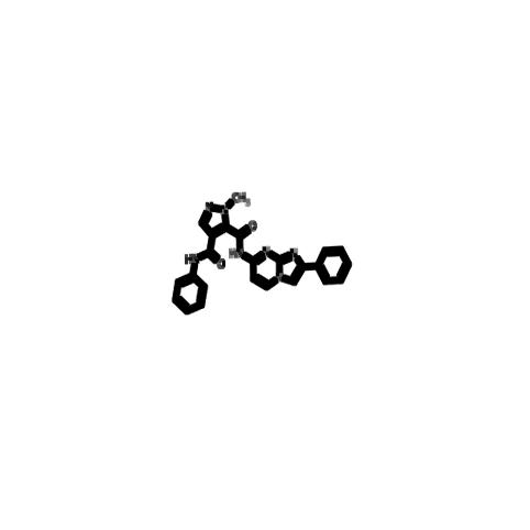 Cn1ncc(C(=O)Nc2ccccc2)c1C(=O)Nc1ccn2cc(-c3ccccc3)nc2n1